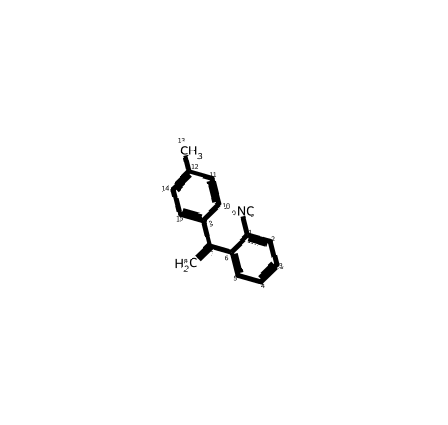 [C-]#[N+]c1ccccc1C(=C)c1ccc(C)cc1